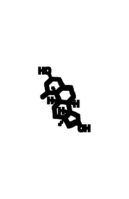 CC1C[C@H](O)CC2=CC[C@H]3[C@@H]4CC(O)=C[C@@]4(C)CC[C@@H]3[C@]21C